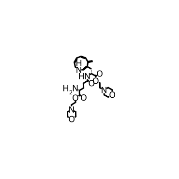 C=C1/C=C\C=C/CN/C=C\1C[C@@H](NC(=O)CC[C@@H](N)C(=O)OCCN1CCOCC1)C(=O)OCCN1CCOCC1